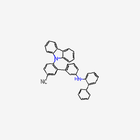 N#Cc1ccc(-n2c3ccccc3c3ccccc32)c(-c2cccc(Nc3ccccc3-c3ccccc3)c2)c1